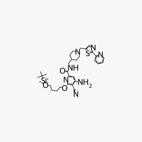 C[C@@H](CCOc1nc(C(=O)NCC2CCN(Cc3cnc(-c4ccccn4)s3)CC2)cc(N)c1C#N)CO[Si](C)(C)C(C)(C)C